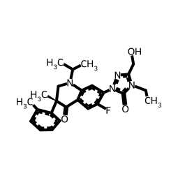 CCn1c(CO)nn(-c2cc3c(cc2F)C(=O)[C@](C)(c2ccccc2C)CN3C(C)C)c1=O